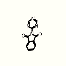 O=C1c2ccccc2C(=O)N1c1ncncn1